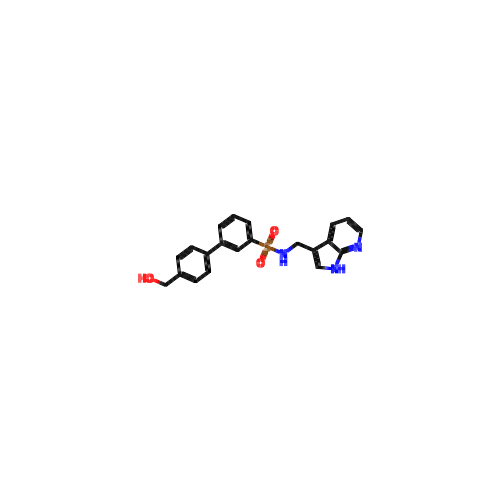 O=S(=O)(NCc1c[nH]c2ncccc12)c1cccc(-c2ccc(CO)cc2)c1